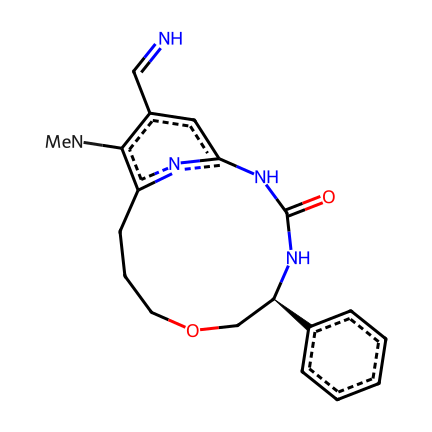 CNc1c(C=N)cc2nc1CCCOC[C@H](c1ccccc1)NC(=O)N2